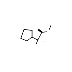 COC(=O)[C@@](C)(O)C1CCCC1